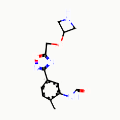 Cc1ccc(-c2noc(COC3CNC3)n2)cc1NC=O